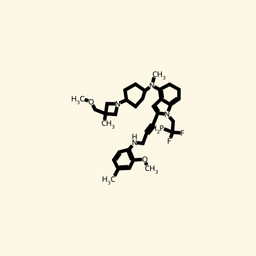 COCC1(C)CN(C2CCC(N(C)C3=c4cc(C#CCNc5ccc(C)cc5OC)n(CC(F)(F)P)c4=CCC3)CC2)C1